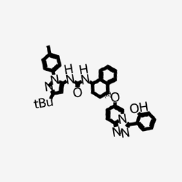 Cc1ccc(-n2nc(C(C)(C)C)cc2NC(=O)NC2CC[C@@H](Oc3ccc4nnc(-c5ccccc5O)n4c3)c3ccccc32)cc1